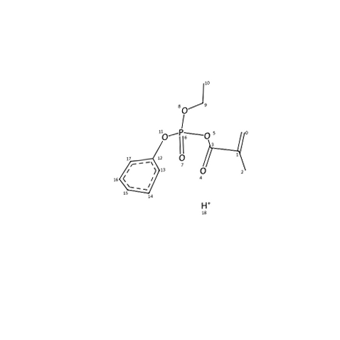 C=C(C)C(=O)OP(=O)(OCC)Oc1ccccc1.[H+]